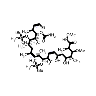 CC/C=C\C(C)[C@H](OC(N)=O)[C@@H](C)[C@H](O[Si](C)(C)C(C)(C)C)[C@@H](C)C/C(C)=C\[C@H](C)[C@@H](O[Si](C)(C)C(C)(C)C)C(C)/C=C\C(O)CC(O)[C@H](C)C(OC)C(C)C(=O)NOC